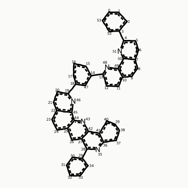 c1ccc(-c2ccc3ccc4ccc(-c5cccc(-c6ccc7ccc8cc9c(-c%10ccccc%10)nc%10ccccc%10c9nc8c7n6)c5)nc4c3n2)cc1